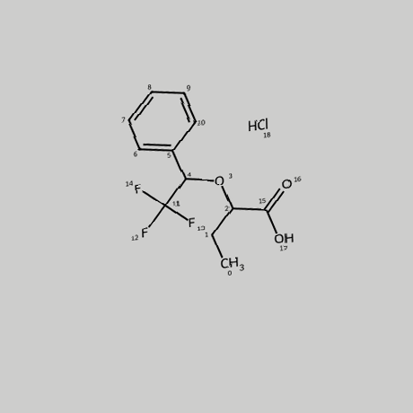 CCC(OC(c1ccccc1)C(F)(F)F)C(=O)O.Cl